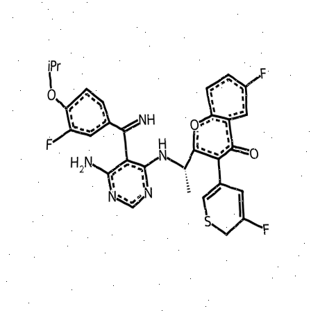 CC(C)Oc1ccc(C(=N)c2c(N)ncnc2N[C@@H](C)c2oc3ccc(F)cc3c(=O)c2C2=CSCC(F)=C2)cc1F